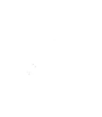 CC1(C)c2ccccc2-c2cc3c(cc21)Oc1c(cccc1-c1cccc(-c2ccc4ccc5cccnc5c4n2)c1)O3